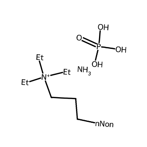 CCCCCCCCCCCC[N+](CC)(CC)CC.N.O=P(O)(O)O